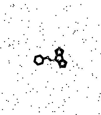 c1cc2c(s1)[C@H](COC1CCCCC1)n1cncc1-2